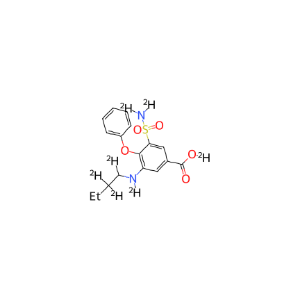 [2H]OC(=O)c1cc(N([2H])C([2H])C([2H])([2H])CC)c(Oc2ccccc2)c(S(=O)(=O)N([2H])[2H])c1